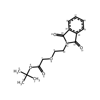 CC(C)(C)OC(=O)COCCN1C(=O)c2ccccc2C1=O